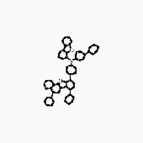 c1ccc(-c2ccc(N(c3ccc(-c4ccc(-c5ccccc5)c5c4oc4c6ccccc6c(-c6ccccc6)cc45)cc3)c3cccc4c3oc3ccccc34)cc2)cc1